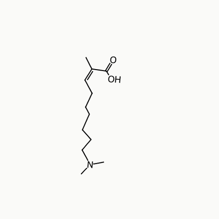 CC(=CCCCCCCN(C)C)C(=O)O